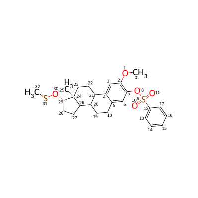 COc1cc2c(cc1OS(=O)(=O)c1ccccc1)CCC1C2CC[C@@]2(C)C1CC[C@@H]2OSC